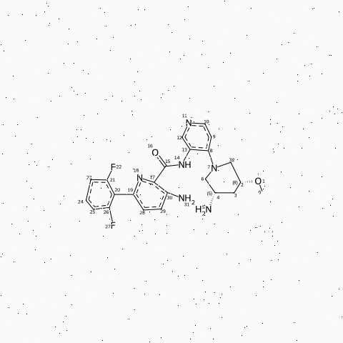 CO[C@@H]1C[C@H](N)CN(c2ccncc2NC(=O)c2nc(-c3c(F)cccc3F)ccc2N)C1